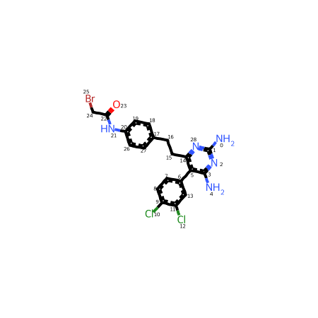 Nc1nc(N)c(-c2ccc(Cl)c(Cl)c2)c(CCc2ccc(NC(=O)CBr)cc2)n1